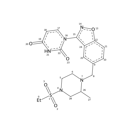 CCS(=O)(=O)N1CCN(Cc2ccc3onc(-n4ccc(=O)[nH]c4=O)c3c2)C(C)C1